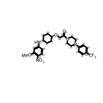 COc1cc(N[C@H]2CC[C@H](OCC(=O)N3CCN(c4ccc(C(F)(F)F)cc4)CC3)CC2)ccc1[N+](=O)[O-]